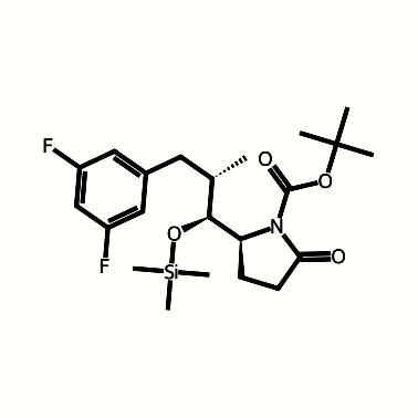 C[C@@H](Cc1cc(F)cc(F)c1)[C@H](O[Si](C)(C)C)[C@@H]1CCC(=O)N1C(=O)OC(C)(C)C